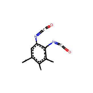 Cc1cc(N=C=O)c(N=C=O)c(C)c1C